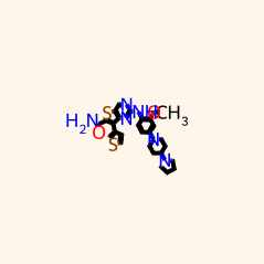 COc1cc(N2CCC(N3CCCC3)CC2)ccc1Nc1ncc2sc(C(N)=O)c(-c3ccsc3)c2n1